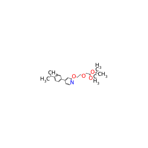 CC(C)c1ccc(-c2ccnc(OCCOCC(=O)OC(C)(C)C)c2)cc1